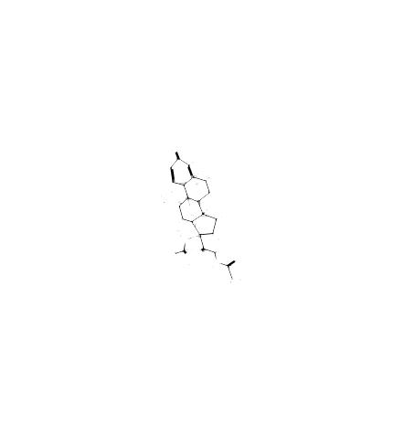 CCCC(=O)OCC(=O)[C@@]1(OC(=O)CCC)[C@H](C)C[C@H]2[C@@H]3CCC4=CC(=O)C=C[C@]4(C)[C@@]3(Cl)[C@@H](Cl)C[C@@]21C